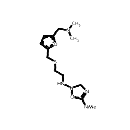 CNC1=NCN(NCCSCc2ccc(CN(C)C)o2)O1